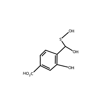 O=C(O)c1ccc(C(O)SO)c(O)c1